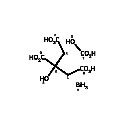 O=C(O)CC(O)(CC(=O)O)C(=O)O.O=C(O)O.[BiH3]